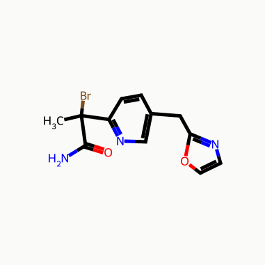 CC(Br)(C(N)=O)c1ccc(Cc2ncco2)cn1